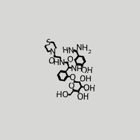 N=C(N)c1ccc(O)c(NC(C(=O)NCC(=O)N2CCSCC2)c2ccccc2OC2OC(CO)C(O)C(O)C2O)c1